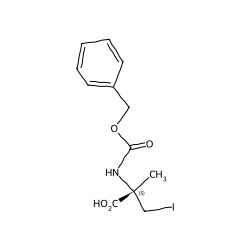 C[C@](CI)(NC(=O)OCc1ccccc1)C(=O)O